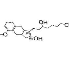 CCCCCC(O)CC[C@@H]1C2Cc3cccc(OCC#N)c3CC2C[C@H]1O